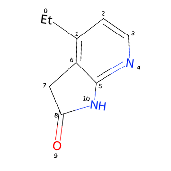 CCc1ccnc2c1CC(=O)N2